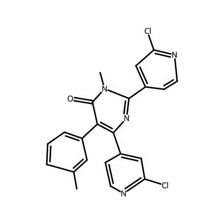 Cc1cccc(-c2c(-c3ccnc(Cl)c3)nc(-c3ccnc(Cl)c3)n(C)c2=O)c1